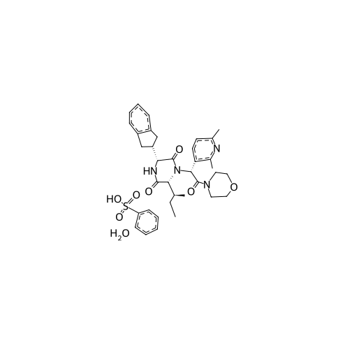 CC[C@H](C)[C@@H]1C(=O)N[C@H](C2Cc3ccccc3C2)C(=O)N1[C@@H](C(=O)N1CCOCC1)c1ccc(C)nc1C.O.O=S(=O)(O)c1ccccc1